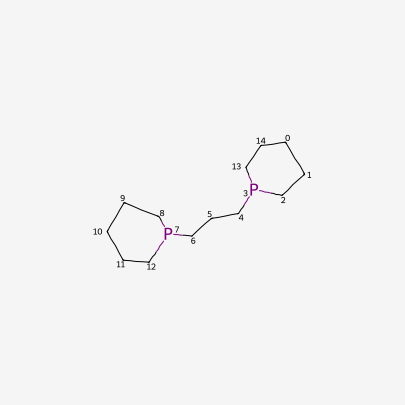 C1CCP(CCCP2CCCCC2)CC1